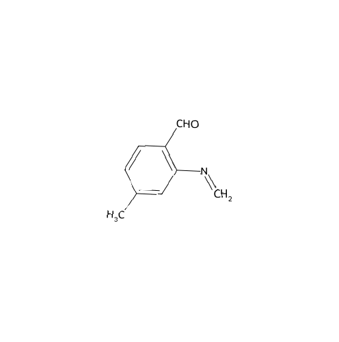 C=Nc1cc(C)ccc1C=O